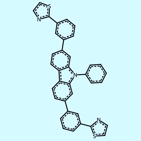 c1ccc(-n2c3cc(-c4cccc(-c5nccs5)c4)ccc3c3ccc(-c4cccc(-c5nccs5)c4)cc32)cc1